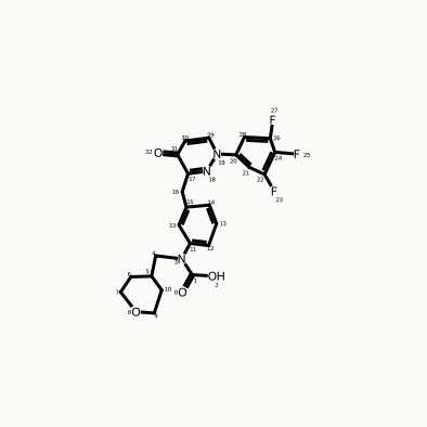 O=C(O)N(CC1CCOCC1)c1cccc(Cc2nn(-c3cc(F)c(F)c(F)c3)ccc2=O)c1